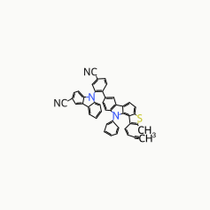 C#C/C=C\c1c(C)sc2ccc3c4cc(-c5ccc(C#N)cc5-n5c6ccccc6c6cc(C#N)ccc65)ccc4n(-c4ccccc4)c3c12